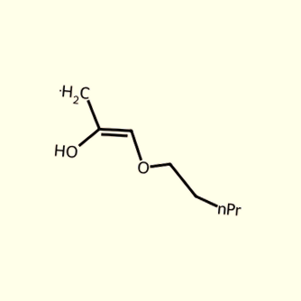 [CH2]/C(O)=C/OCCCCC